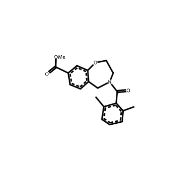 COC(=O)c1ccc2c(c1)OCCN(C(=O)c1c(C)cccc1C)C2